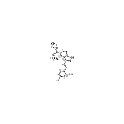 CCOC(=O)c1ccc2[nH]nc(C=Cc3ccc(F)cc3F)c2c1OC